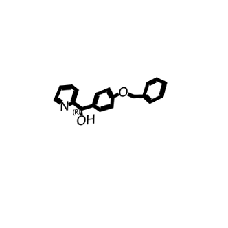 O[C@H](c1ccc(OCc2ccccc2)cc1)c1ccccn1